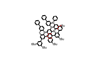 CC(C)(C)c1ccc(N2c3cc4c(cc3B3c5ccc(-c6ccccc6)cc5Sc5cc(-c6cc(C(C)(C)C)cc(C(C)(C)C)c6)cc2c53)B2c3ccc(-c5ccccc5)cc3N(c3ccccc3)c3cc(C(C)(C)C)cc(c32)N4c2c(-c3ccccc3)cc(C(C)(C)C)cc2-c2ccccc2)cc1